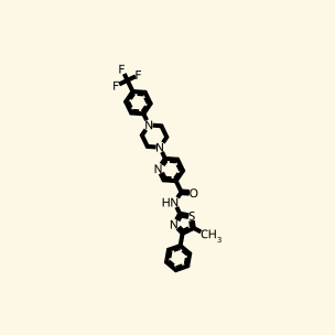 Cc1sc(NC(=O)c2ccc(N3CCN(c4ccc(C(F)(F)F)cc4)CC3)nc2)nc1-c1ccccc1